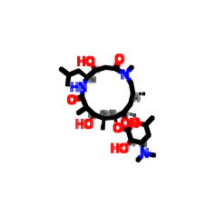 CC(C)C[C@@H]1NC(=O)C(C)[C@@H](O)[C@H](C)[C@@H](OC2OC(C)C[C@H](N(C)C)[C@H]2O)[C@](C)(O)C[C@@H](C)CN(C)C(=O)C[C@@H]1O